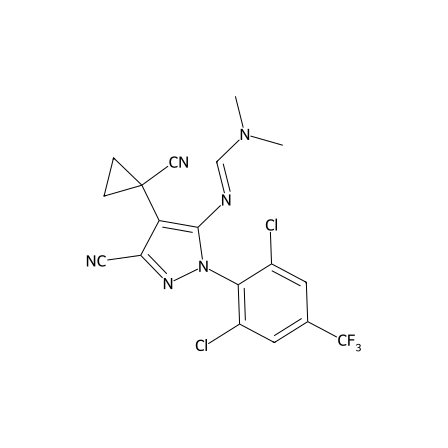 CN(C)C=Nc1c(C2(C#N)CC2)c(C#N)nn1-c1c(Cl)cc(C(F)(F)F)cc1Cl